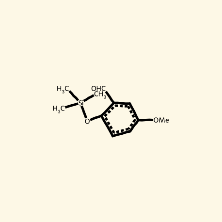 COc1ccc(O[Si](C)(C)C)c(C=O)c1